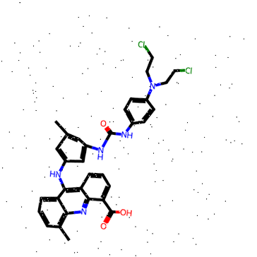 Cc1cc(NC(=O)Nc2ccc(N(CCCl)CCCl)cc2)cc(Nc2c3cccc(C)c3nc3c(C(=O)O)cccc23)c1